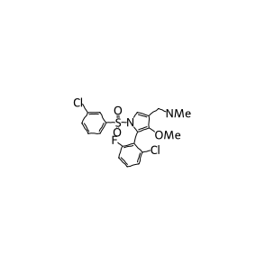 CNCc1cn(S(=O)(=O)c2cccc(Cl)c2)c(-c2c(F)cccc2Cl)c1OC